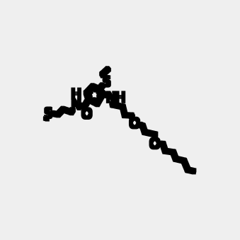 CCCCCCCOCCCOCCCCNc1cc(C(=O)NCCCSC)ccc1SCC